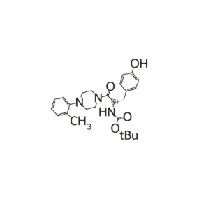 Cc1ccccc1N1CCN(C(=O)[C@H](Cc2ccc(O)cc2)NC(=O)OC(C)(C)C)CC1